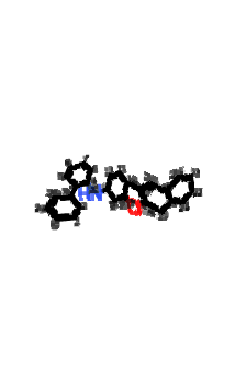 c1ccc(-c2ccccc2Nc2ccc3c(c2)oc2cc4ccccc4cc23)cc1